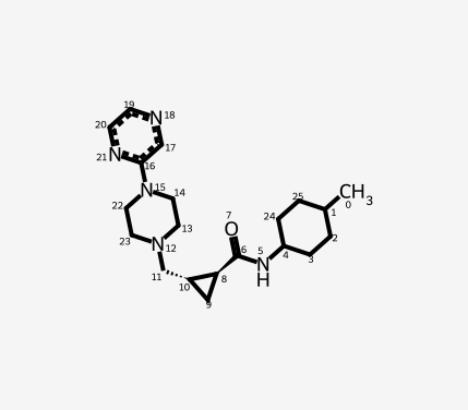 CC1CCC(NC(=O)[C@H]2C[C@@H]2CN2CCN(c3cnccn3)CC2)CC1